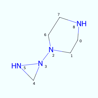 C1CN(N2CN2)CCN1